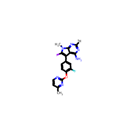 [2H]c1nc(N)c2c(-c3ccc(Oc4nccc(C)n4)c(F)c3)c(I)n(C)c2n1